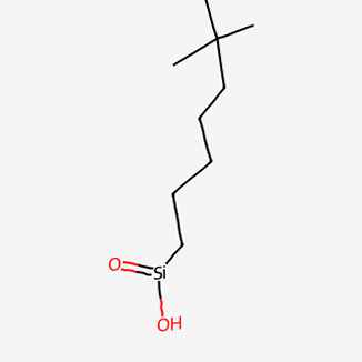 CC(C)(C)CCCCC[Si](=O)O